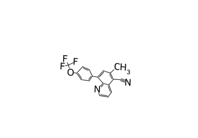 Cc1cc(-c2ccc(OC(F)(F)F)cc2)c2ncccc2c1C#N